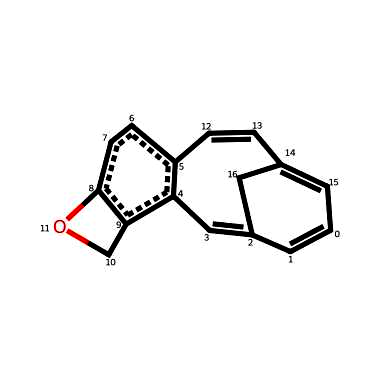 C1=CC2=Cc3c(ccc4c3CO4)C=CC(=C1)C2